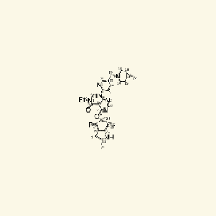 CCN(C)C(=O)c1c(Nc2ccc(CN3CCN(C)CC3)cn2)ncnc1Oc1cc(F)c2[nH]c(C)cc2c1F